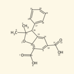 CC1(C)Oc2c(C(=O)O)cc(C(=O)O)cc2C1c1ccccc1